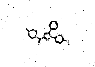 COc1ccc(-n2nc(C(=O)N3CCN(C)CC3)cc2-c2ccccc2)nn1